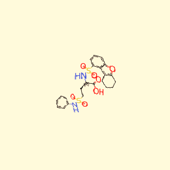 O=C(O)[C@@H](CCS(=O)(=O)Nc1ccccc1)NS(=O)(=O)c1cccc2oc3c(c12)CCCC3